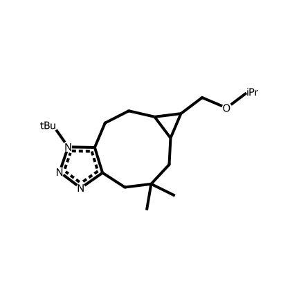 CC(C)OCC1C2CCc3c(nnn3C(C)(C)C)CC(C)(C)CC21